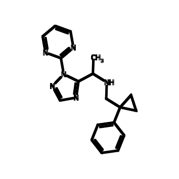 CC(NCC1(c2ccccc2)CC1)c1ncnn1-c1ncccn1